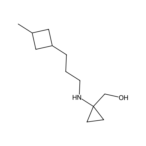 CC1CC(CCCNC2(CO)CC2)C1